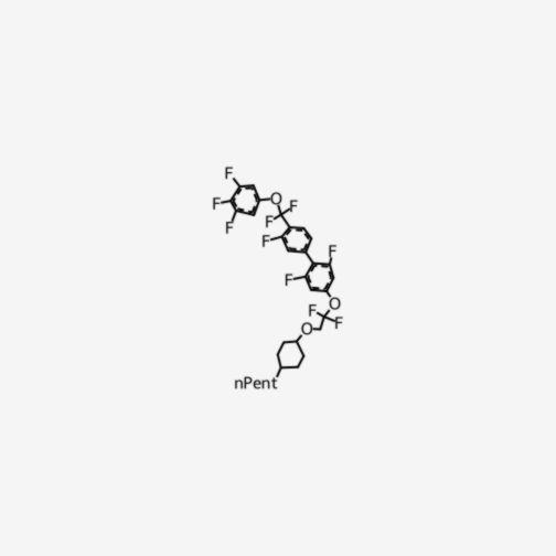 CCCCCC1CCC(OCC(F)(F)Oc2cc(F)c(-c3ccc(C(F)(F)Oc4cc(F)c(F)c(F)c4)c(F)c3)c(F)c2)CC1